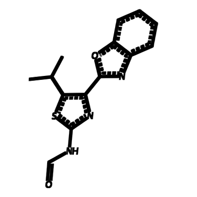 CC(C)c1sc(NC=O)nc1-c1nc2ccccc2o1